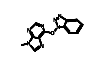 Cn1cnc2c(On3nnc4ccccc43)ncnc21